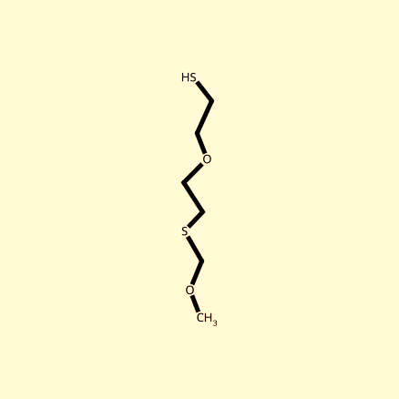 COCSCCOCCS